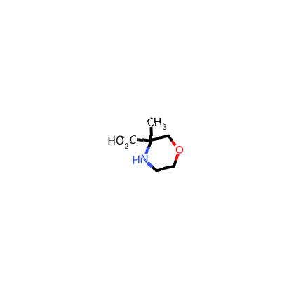 CC1(C(=O)O)COCCN1